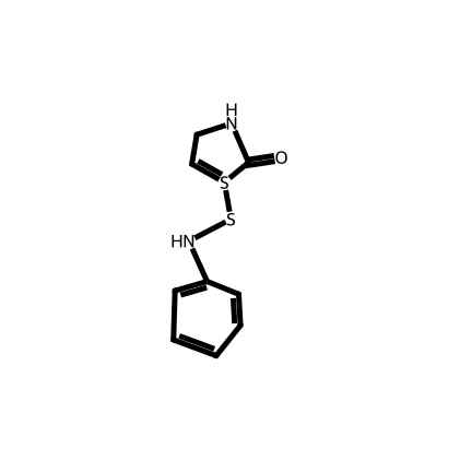 O=C1NCC=S1SNc1ccccc1